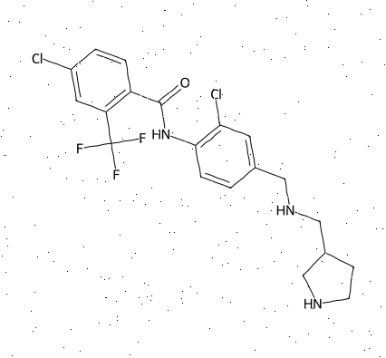 O=C(Nc1ccc(CNCC2CCNC2)cc1Cl)c1ccc(Cl)cc1C(F)(F)F